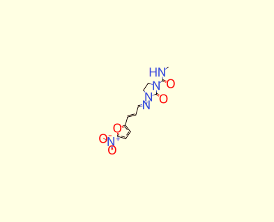 CNC(=O)N1CCN(N=CC=Cc2ccc([N+](=O)[O-])o2)C1=O